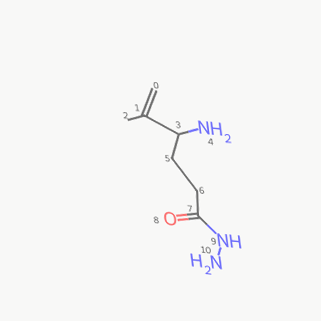 C=C(C)C(N)CCC(=O)NN